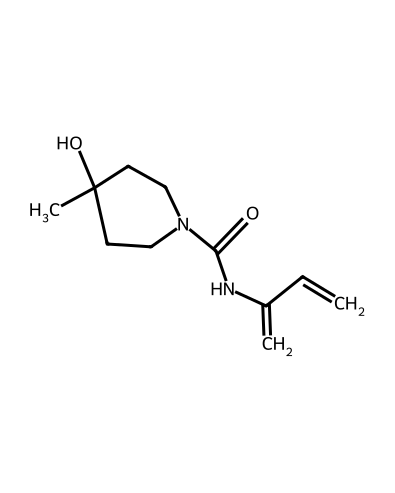 C=CC(=C)NC(=O)N1CCC(C)(O)CC1